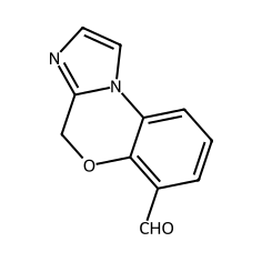 O=Cc1cccc2c1OCc1nccn1-2